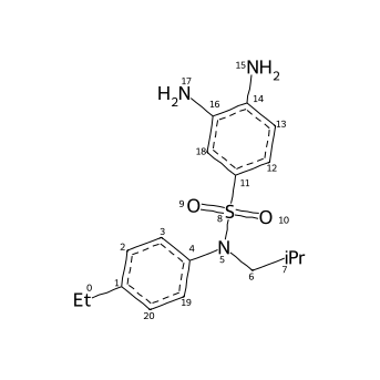 CCc1ccc(N(CC(C)C)S(=O)(=O)c2ccc(N)c(N)c2)cc1